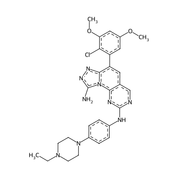 CCN1CCN(c2ccc(Nc3ncc4cc(-c5cc(OC)cc(OC)c5Cl)c5nnc(N)n5c4n3)cc2)CC1